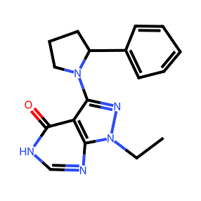 CCn1nc(N2CCCC2c2ccccc2)c2c(=O)[nH]cnc21